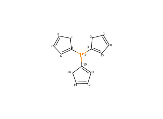 C1=CCC(P(C2=CC=CC2)C2=CC=CC2)=C1